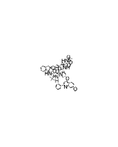 C=CC1C[C@]1(NC(=O)[C@@H]1CC(Oc2cc(-c3ccccc3)nc3cc(OC)ccc23)CN1C(=O)N[C@H](C(=O)N[C@H]1c2ccccc2C[C@H]1O)C(C)(C)C)C(=O)NS(C)(=O)=O